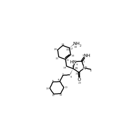 CN1C(=N)N[C@](CCC2CCCCC2)(CC2=C[C@@H](N)CCC2)C1=O